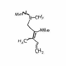 C=C/C(C)=C(/CN(C)NC)NC